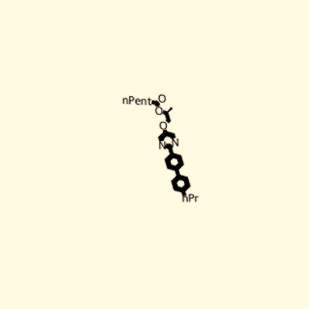 CCCCCC(=O)O[C@@H](C)COc1cnc(-c2ccc(-c3ccc(CCC)cc3)cc2)nc1